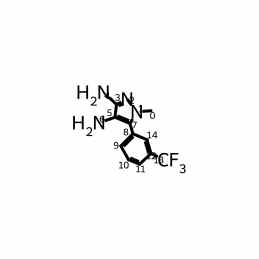 Cn1nc(N)c(N)c1-c1cccc(C(F)(F)F)c1